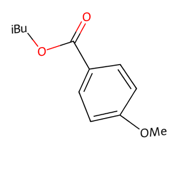 CCC(C)OC(=O)c1ccc(OC)cc1